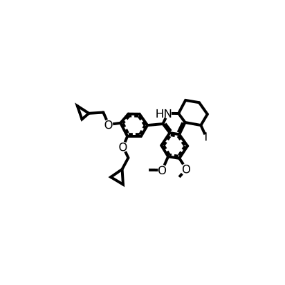 COc1cc2c(cc1OC)=C1C(I)CCCC1NC=2c1ccc(OCC2CC2)c(OCC2CC2)c1